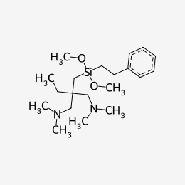 CCC(CN(C)C)(CN(C)C)C[Si](CCc1ccccc1)(OC)OC